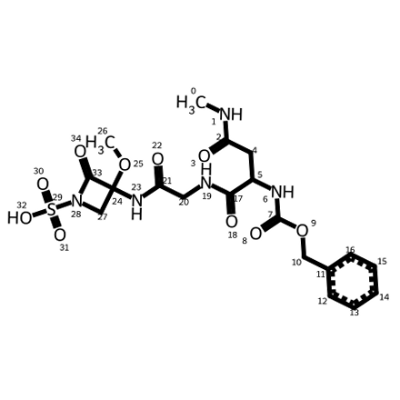 CNC(=O)CC(NC(=O)OCc1ccccc1)C(=O)NCC(=O)NC1(OC)CN(S(=O)(=O)O)C1=O